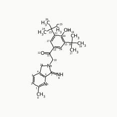 Cc1ccc2c(n1)C(=N)N(CC(=O)c1cc(C(C)(C)C)c(O)c(C(C)(C)C)c1)C2